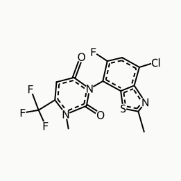 Cc1nc2c(Cl)cc(F)c(-n3c(=O)cc(C(F)(F)F)n(C)c3=O)c2s1